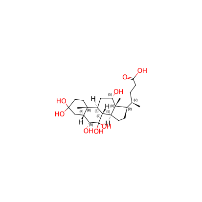 C[C@H](CCC(=O)O)[C@H]1CC[C@H]2[C@H]3[C@H](C[C@H](O)[C@]12C)[C@@]1(C)CCC(O)(O)C[C@H]1[C@@H](O)C3(O)O